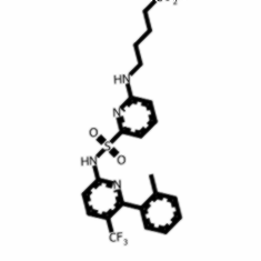 Cc1ccccc1-c1nc(NS(=O)(=O)c2cccc(NCCCCC(=O)O)n2)ccc1C(F)(F)F